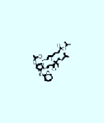 CC(=O)O[C@H]1C[C@@H](OC2CCCCO2)[C@H](C=CC(=O)C(F)(F)CCC(C)C)[C@H]1CCCCCCC(=O)OC(C)C